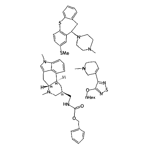 CCCCCCOc1nsnc1C1=CCCN(C)C1.CN1C[C@H](CNC(=O)OCc2ccccc2)C[C@@H]2c3cccc4c3c(cn4C)C[C@H]21.CSc1ccc2c(c1)C(N1CCN(C)CC1)Cc1ccccc1S2